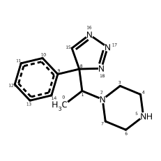 CC(N1CCNCC1)C1(c2cc[c]cc2)C=NN=N1